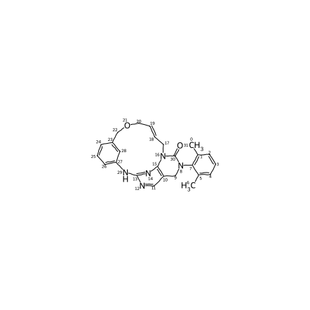 Cc1cccc(C)c1N1Cc2cnc3nc2N(C/C=C/COCc2cccc(c2)N3)C1=O